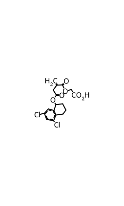 C=C(CC(=O)OC1CCCc2c(Cl)cc(Cl)cc21)C(=O)OCC(=O)O